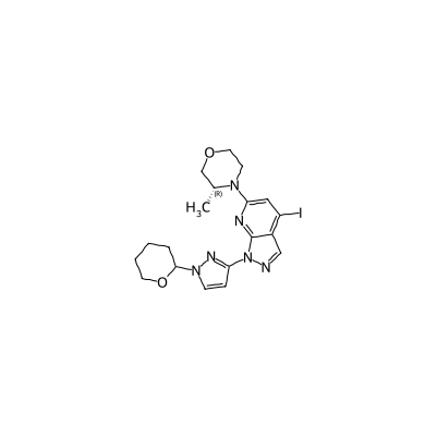 C[C@@H]1COCCN1c1cc(I)c2cnn(-c3ccn(C4CCCCO4)n3)c2n1